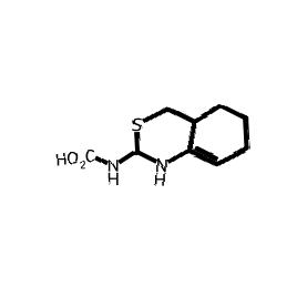 O=C(O)NC1NC2=CCCCC2CS1